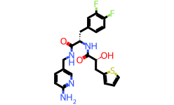 Nc1ccc(CNC(=O)[C@H](Cc2ccc(F)c(F)c2)NC(=O)[C@H](O)Cc2cccs2)cn1